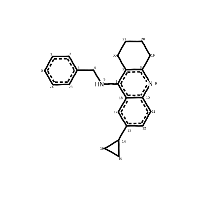 c1ccc(CNc2c3c(nc4ccc(C5CC5)cc24)CCCC3)cc1